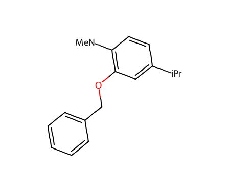 CNc1ccc(C(C)C)cc1OCc1ccccc1